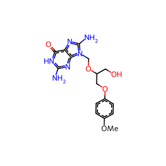 COc1ccc(OCC(CO)OCn2c(N)nc3c(=O)[nH]c(N)nc32)cc1